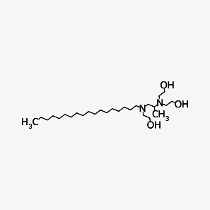 CCCCCCCCCCCCCCCCCCN(CCO)CC(C)N(CCO)CCO